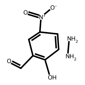 NN.O=Cc1cc([N+](=O)[O-])ccc1O